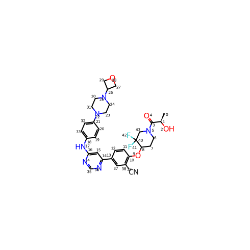 C[C@@H](O)C(=O)N1CCC(Oc2ccc(-c3cc(Nc4ccc(N5CCN(C6COC6)CC5)cc4)ncn3)cc2C#N)C(F)(F)C1